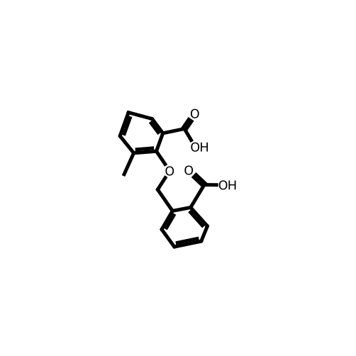 Cc1cccc(C(=O)O)c1OCc1ccccc1C(=O)O